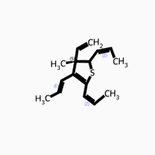 C=C[C@@]1(C)C(/C=C/C)=C(/C=C\C)SC1/C=C\C